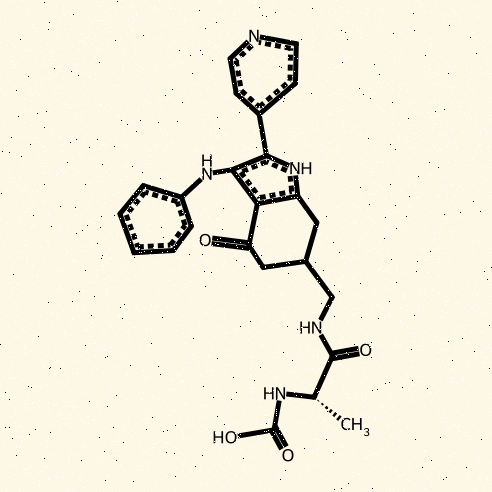 C[C@H](NC(=O)O)C(=O)NCC1CC(=O)c2c([nH]c(-c3ccncc3)c2Nc2ccccc2)C1